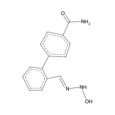 NC(=O)c1ccc(-c2ccccc2C=NNO)cc1